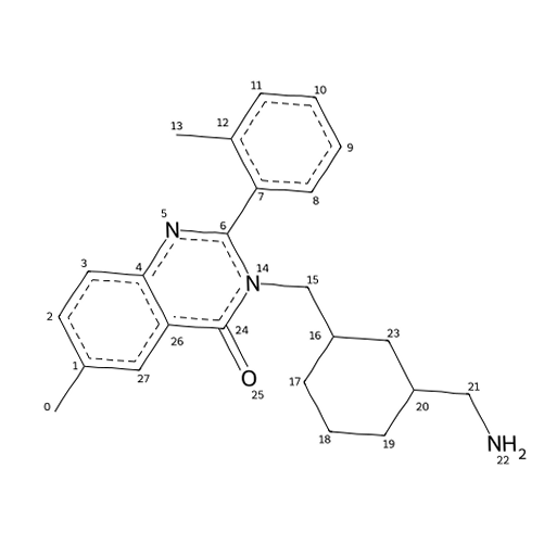 Cc1ccc2nc(-c3ccccc3C)n(CC3CCCC(CN)C3)c(=O)c2c1